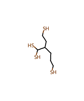 SCCCC(CCS)C(S)S